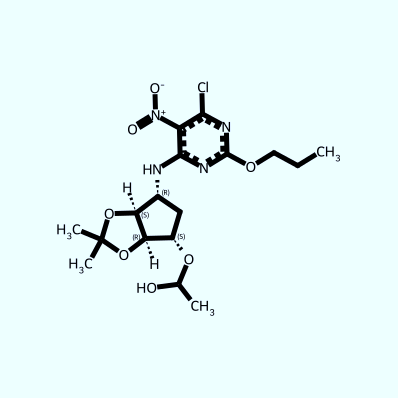 CCCOc1nc(Cl)c([N+](=O)[O-])c(N[C@@H]2C[C@H](OC(C)O)[C@H]3OC(C)(C)O[C@H]32)n1